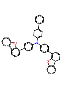 C1=CC(c2ccc(N(C3=CC=C(c4ccccc4)CC3)c3ccc(-c4cccc5c4oc4ccccc45)cc3)cc2)=C2Oc3ccccc3C2C1